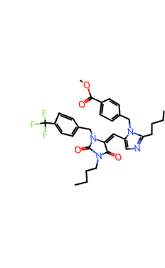 CCCCc1ncc(C=C2C(=O)N(CCCC)C(=O)N2Cc2ccc(C(F)(F)F)cc2)n1Cc1ccc(C(=O)OC)cc1